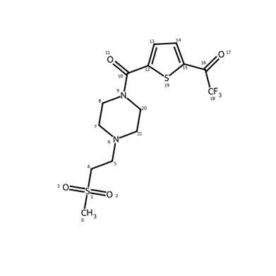 CS(=O)(=O)CCN1CCN(C(=O)c2ccc(C(=O)C(F)(F)F)s2)CC1